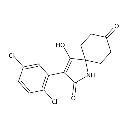 O=C1CCC2(CC1)NC(=O)C(c1cc(Cl)ccc1Cl)=C2O